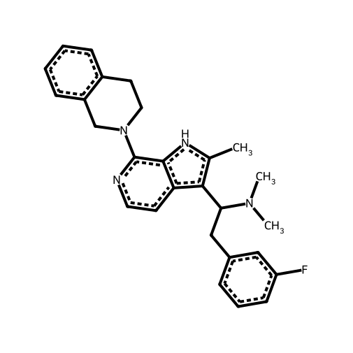 Cc1[nH]c2c(N3CCc4ccccc4C3)nccc2c1C(Cc1cccc(F)c1)N(C)C